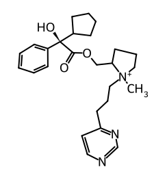 C[N+]1(CCCc2ccncn2)CCCC1COC(=O)[C@](O)(c1ccccc1)C1CCCC1